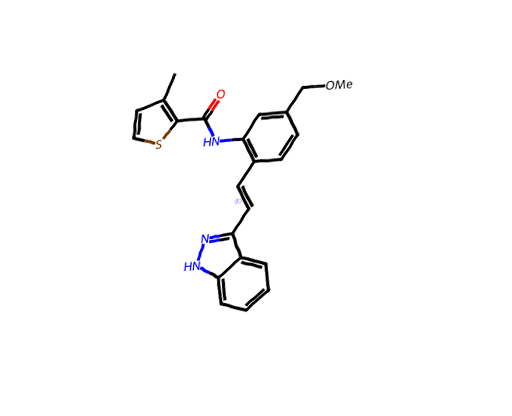 COCc1ccc(/C=C/c2n[nH]c3ccccc23)c(NC(=O)c2sccc2C)c1